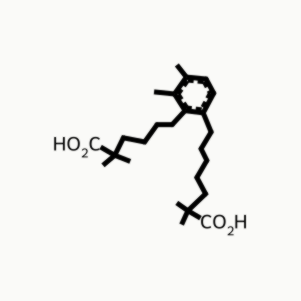 Cc1ccc(CCCCCC(C)(C)C(=O)O)c(CCCCC(C)(C)C(=O)O)c1C